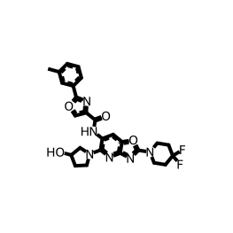 Cc1cccc(-c2nc(C(=O)Nc3cc4oc(N5CCC(F)(F)CC5)nc4nc3N3CCC(O)C3)co2)c1